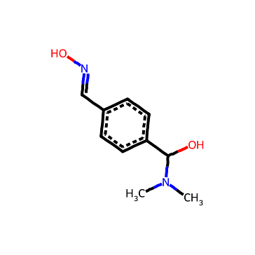 CN(C)C(O)c1ccc(/C=N/O)cc1